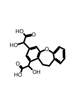 O=C(O)C(O)c1cc2c(c(C(O)C(=O)O)c1)CCc1ccccc1O2